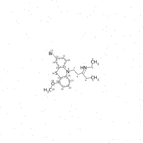 CCNC(CC)CCN1c2ccc(Br)cc2Sc2c(OC)cccc21